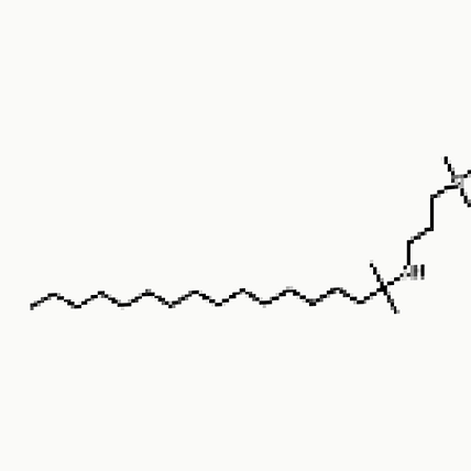 CCCCCCCCCCCCCCCC(C)(C)NCCC[Si](C)(C)C